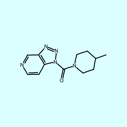 CC1CCN(C(=O)n2nnc3cnccc32)CC1